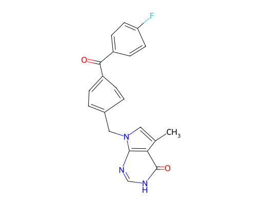 Cc1cn(Cc2ccc(C(=O)c3ccc(F)cc3)cc2)c2nc[nH]c(=O)c12